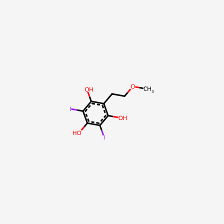 COCCc1c(O)c(I)c(O)c(I)c1O